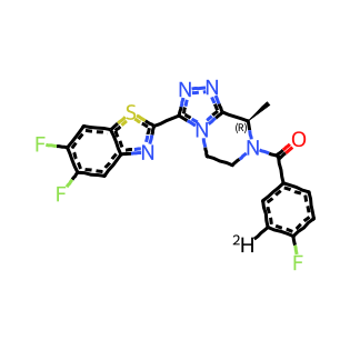 [2H]c1cc(C(=O)N2CCn3c(-c4nc5cc(F)c(F)cc5s4)nnc3[C@H]2C)ccc1F